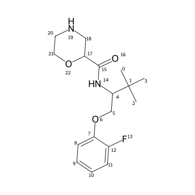 CC(C)(C)C(COc1ccccc1F)NC(=O)C1CNCCO1